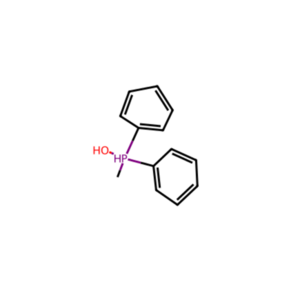 C[PH](O)(c1ccccc1)c1ccccc1